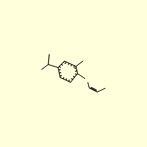 C/C=C\Oc1ccc(C(C)C)cc1N